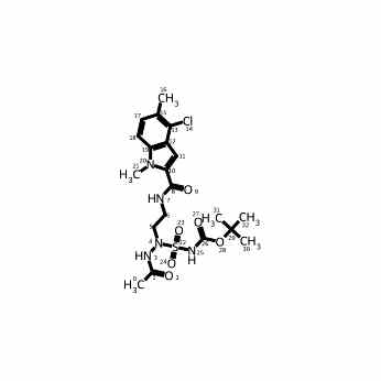 CC(=O)NN(CCNC(=O)c1cc2c(Cl)c(C)ccc2n1C)S(=O)(=O)NC(=O)OC(C)(C)C